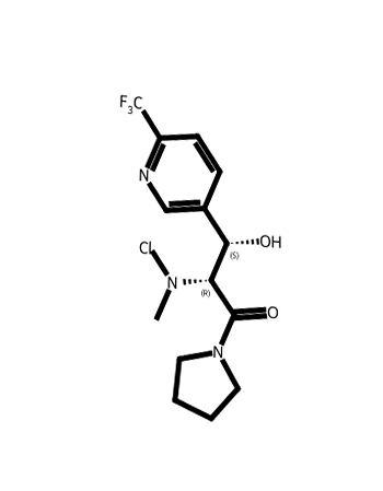 CN(Cl)[C@@H](C(=O)N1CCCC1)[C@@H](O)c1ccc(C(F)(F)F)nc1